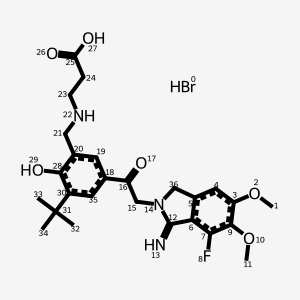 Br.COc1cc2c(c(F)c1OC)C(=N)N(CC(=O)c1cc(CNCCC(=O)O)c(O)c(C(C)(C)C)c1)C2